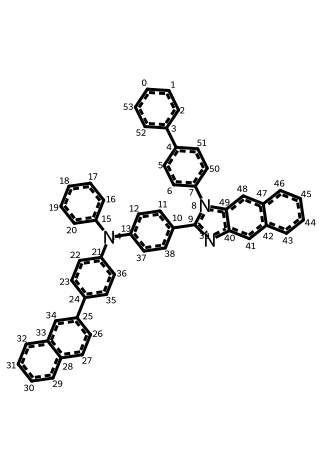 c1ccc(-c2ccc(-n3c(-c4ccc(N(c5ccccc5)c5ccc(-c6ccc7ccccc7c6)cc5)cc4)nc4cc5ccccc5cc43)cc2)cc1